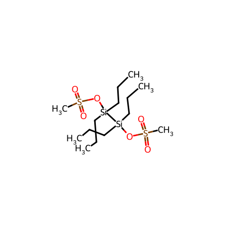 CCC[Si](CCC)(OS(C)(=O)=O)[Si](CCC)(CCC)OS(C)(=O)=O